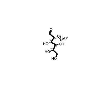 O=C[C@H](ONBr)[C@@H](O)[C@H](O)[C@H](O)CO